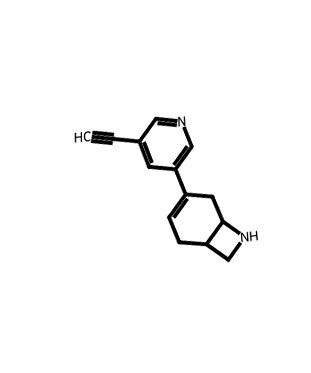 C#Cc1cncc(C2=CCC3CNC3C2)c1